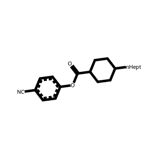 CCCCCCCC1CCC(C(=O)Oc2ccc(C#N)cc2)CC1